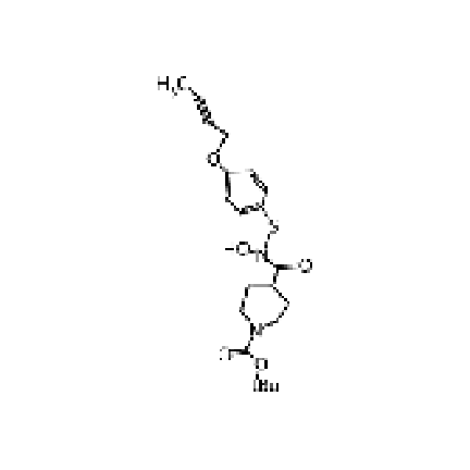 CC#CCOc1ccc(SN(O)C(=O)C2CCN(C(=O)OC(C)(C)C)CC2)cc1